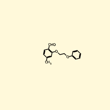 Cc1ccc(C=O)c(OCCOc2ccccc2)c1